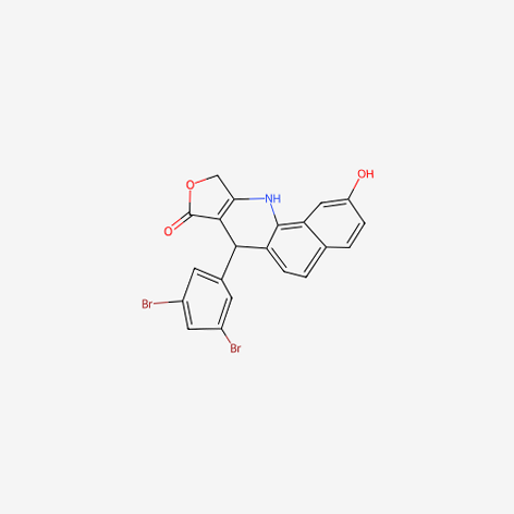 O=C1OCC2=C1C(c1cc(Br)cc(Br)c1)c1ccc3ccc(O)cc3c1N2